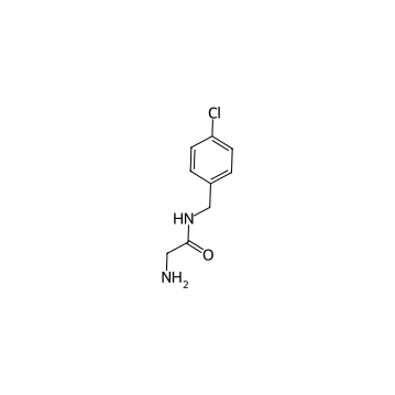 NCC(=O)NCc1ccc(Cl)cc1